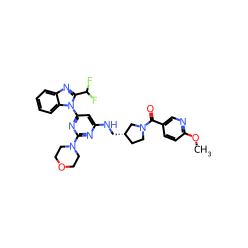 COc1ccc(C(=O)N2CC[C@H](CNc3cc(-n4c(C(F)F)nc5ccccc54)nc(N4CCOCC4)n3)C2)cn1